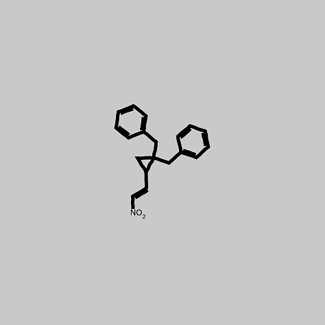 O=[N+]([O-])/C=C/C1CC1(Cc1ccccc1)Cc1ccccc1